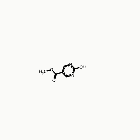 COC(=O)c1cnc(O)nc1